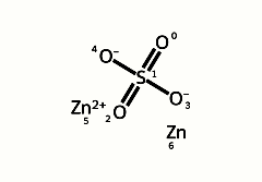 O=S(=O)([O-])[O-].[Zn+2].[Zn]